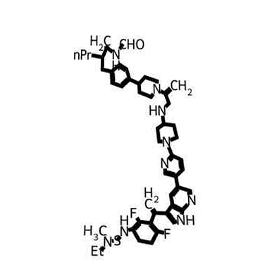 C=C(C1=C(F)CCC(NSN(C)CC)=C1F)c1c[nH]c2ncc(-c3ccc(N4CCC(NCC(=C)N5CCC(c6ccc(CC(CCC)C(=C)NC=O)cc6)CC5)CC4)nc3)cc12